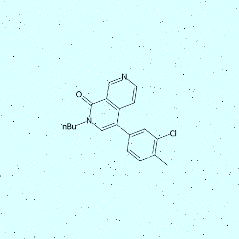 CCCCn1cc(-c2ccc(C)c(Cl)c2)c2ccncc2c1=O